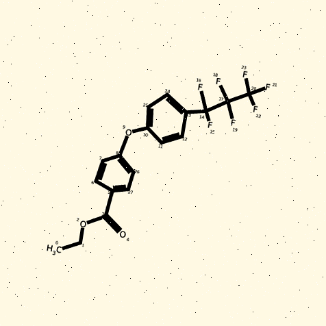 CCOC(=O)c1ccc(Oc2ccc(C(F)(F)C(F)(F)C(F)(F)F)cc2)cc1